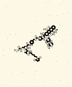 COc1cccc2c1C(=N)c1c(O)c3c(c(O)c1C2=O)C[C@@](O)(C(=O)CN(C)C1CCN(C(=O)OCc2ccc(NC(=O)[C@H](CCCNC(N)=O)NC(=O)[C@@H](NC(=O)CCCCCN4C(=O)C=CC4=O)C(C)C)cc2)CC1)C[C@@H]3O[C@H]1C[C@H]2[C@H](O[C@@H]3[C@@H](OC)OCCN32)[C@H](C)O1